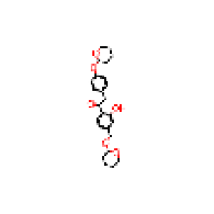 O=C(Cc1ccc(OC2CCCCO2)cc1)c1ccc(COC2CCCCO2)cc1O